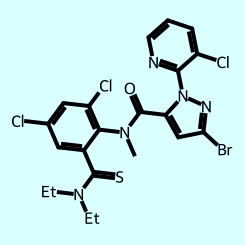 CCN(CC)C(=S)c1cc(Cl)cc(Cl)c1N(C)C(=O)c1cc(Br)nn1-c1ncccc1Cl